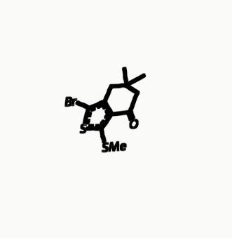 CSc1sc(Br)c2c1C(=O)CC(C)(C)C2